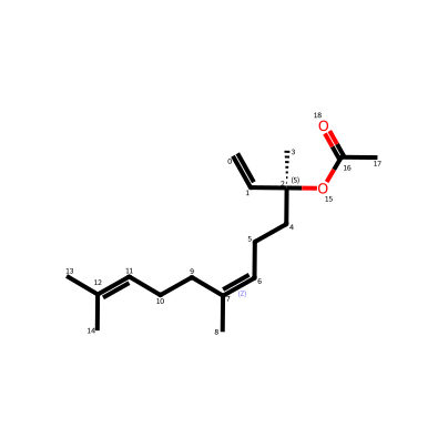 C=C[C@](C)(CC/C=C(/C)CCC=C(C)C)OC(C)=O